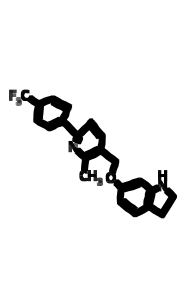 Cc1nc(-c2ccc(C(F)(F)F)cc2)ccc1COc1ccc2c(c1)NCC2